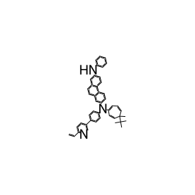 C=Cc1ccc(-c2ccc(N(C3=CC=CC(C)(C(C)(C)C)C=C3)c3ccc4c(ccc5cc(Nc6ccccc6)ccc54)c3)cc2)cn1